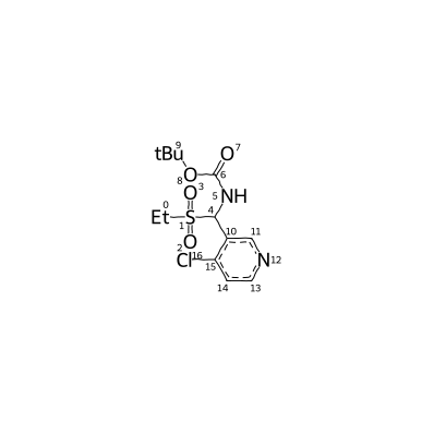 CCS(=O)(=O)C(NC(=O)OC(C)(C)C)c1cnccc1Cl